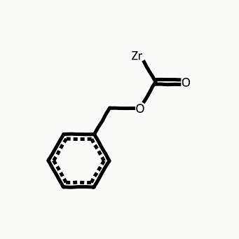 O=[C]([Zr])OCc1ccccc1